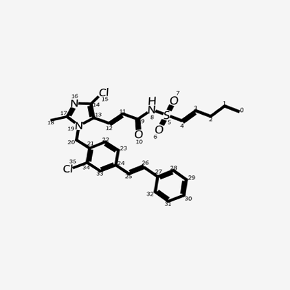 CCC/C=C/S(=O)(=O)NC(=O)/C=C/c1c(Cl)nc(C)n1Cc1ccc(/C=C/c2ccccc2)cc1Cl